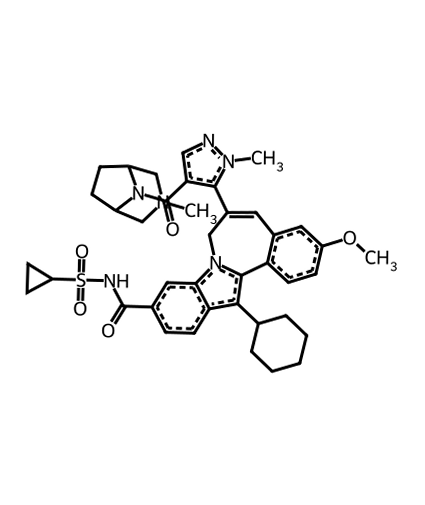 COc1ccc2c(c1)C=C(c1c(C(=O)N3C4CCC3CN(C)C4)cnn1C)Cn1c-2c(C2CCCCC2)c2ccc(C(=O)NS(=O)(=O)C3CC3)cc21